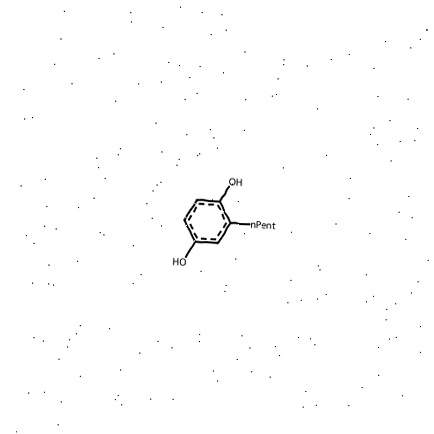 CCCCCc1cc(O)ccc1O